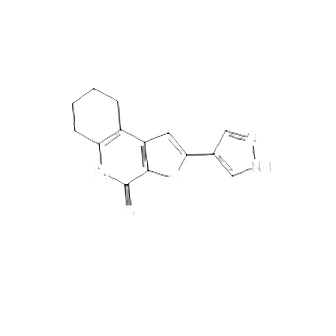 O=c1[nH]c2c(c3cc(-c4cn[nH]c4)sc13)CCCC2